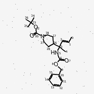 C/C=C/C(C)(NC(=O)OCc1ccccc1)C1CCN(C(=O)OC(C)(C)C)CC1